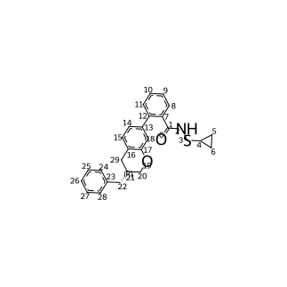 O=C(NSC1CC1)c1ccccc1-c1ccc2c(c1)OC[C@H](Cc1ccccc1)C2